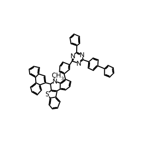 CN1c2c(-c3cccc(-c4nc(-c5ccccc5)nc(-c5ccc(-c6ccccc6)cc5)n4)c3)cccc2-c2c(sc3ccccc23)C1c1cc2ccccc2c2ccccc12